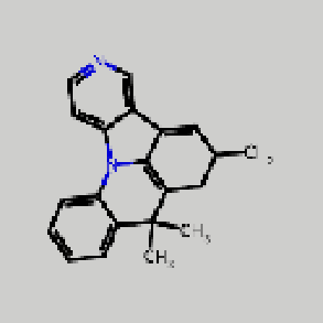 CC1C=c2c3n(c4ccncc24)-c2ccccc2C(C)(C)C=3C1